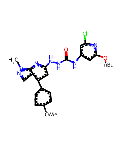 CCCCOc1cc(NC(=O)NNc2cc(-c3ccc(OC)cc3)c3cnn(C)c3n2)cc(Cl)n1